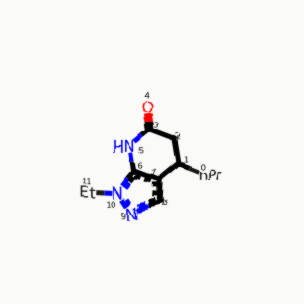 CCCC1CC(=O)Nc2c1cnn2CC